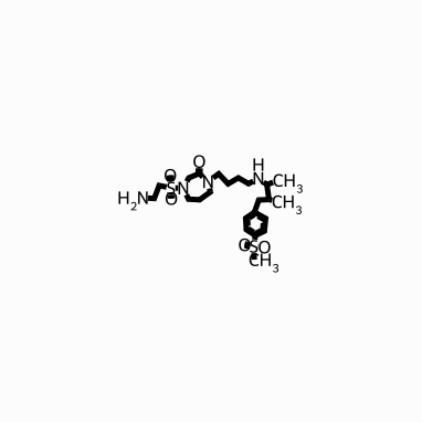 CC(Cc1ccc(S(C)(=O)=O)cc1)C(C)NCCCCN1CCCN(S(=O)(=O)CCN)CC1=O